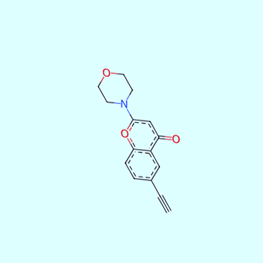 C#Cc1ccc2oc(N3CCOCC3)cc(=O)c2c1